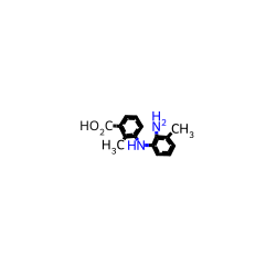 Cc1cccc(Nc2cccc(C(=O)O)c2C)c1N